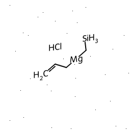 C=C[CH2][Mg][CH2][SiH3].Cl